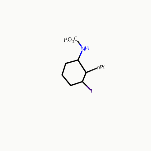 CCCC1C(I)CCCC1NC(=O)O